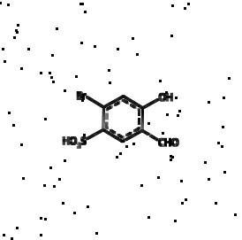 O=Cc1cc(S(=O)(=O)O)c(Br)cc1O